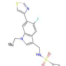 CC(C)(C)Cn1cc(CNS(=O)(=O)C2CC2)c2cc(F)c(-c3cscn3)cc21